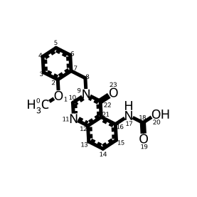 COc1ccccc1Cn1cnc2cccc(NC(=O)O)c2c1=O